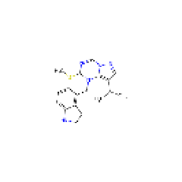 CSC1N=Cn2ncc(C(C)C)c2N1Cc1cccc2c1CCN2